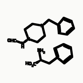 N[C@@H](Cc1ccccc1)C(=O)O.O=CNN1CCN(Cc2ccccc2)CC1